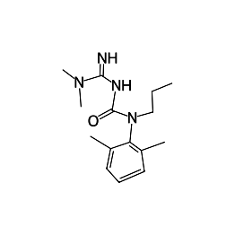 CCCN(C(=O)NC(=N)N(C)C)c1c(C)cccc1C